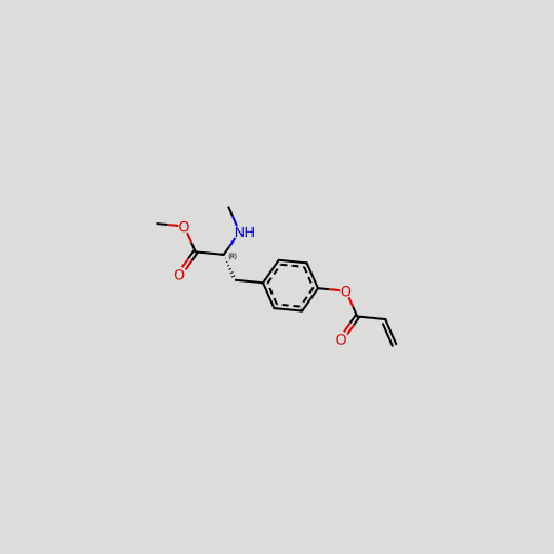 C=CC(=O)Oc1ccc(C[C@@H](NC)C(=O)OC)cc1